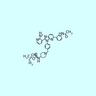 CC(=O)Nc1cccc(-c2ccc3nc(-c4cccnc4N)n(-c4ccc(CN5CCC(NC(=O)OC(C)(C)C)CC5)cc4)c3n2)c1